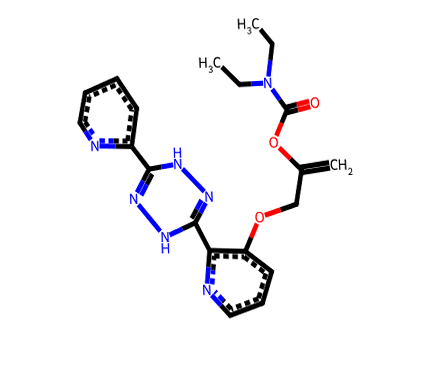 C=C(COc1cccnc1C1=NNC(c2ccccn2)=NN1)OC(=O)N(CC)CC